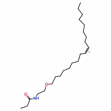 CCCCCCCC/C=C\CCCCCCCCOCCNC(=O)CC